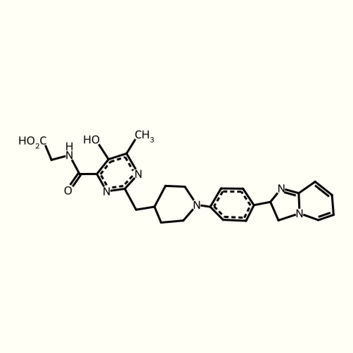 Cc1nc(CC2CCN(c3ccc(C4CN5C=CC=CC5=N4)cc3)CC2)nc(C(=O)NCC(=O)O)c1O